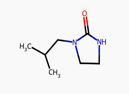 CC(C)CN1CCNC1=O